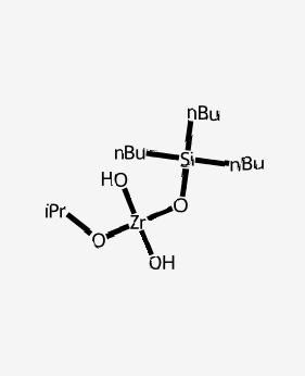 CCCC[Si](CCCC)(CCCC)[O][Zr]([OH])([OH])[O]C(C)C